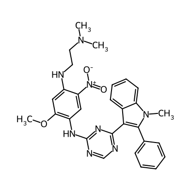 COc1cc(NCCN(C)C)c([N+](=O)[O-])cc1Nc1ncnc(-c2c(-c3ccccc3)n(C)c3ccccc23)n1